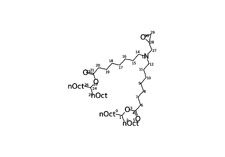 CCCCCCCCC(CCCCCCCC)OC(=O)CCCCCCCN(CCCCCCCC(=O)OC(CCCCCCCC)CCCCCCCC)CC1CO1